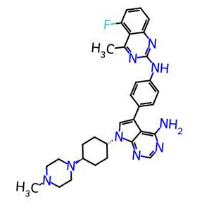 Cc1nc(Nc2ccc(-c3cn([C@H]4CC[C@H](N5CCN(C)CC5)CC4)c4ncnc(N)c34)cc2)nc2cccc(F)c12